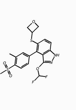 Cc1cc(-c2c(SC3COC3)ccc3[nH]nc(OC(F)F)c23)ccc1S(C)(=O)=O